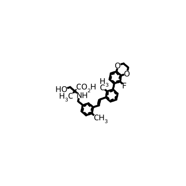 Cc1ccc(CN[C@](C)(CO)C(=O)O)cc1/C=C/c1cccc(-c2ccc3c(c2F)OCCO3)c1C